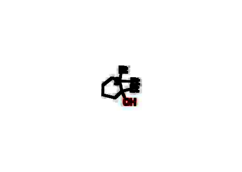 CCC1(O)CCCC[Si]1(CC)CC